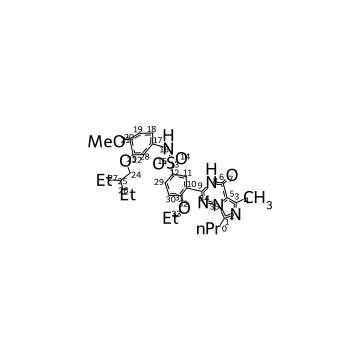 CCCc1nc(C)c2c(=O)[nH]c(-c3cc(S(=O)(=O)Nc4ccc(OC)c(OCC(CC)CC)c4)ccc3OCC)nn12